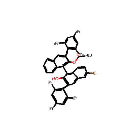 CC(C)c1cc(C(C)C)c(-c2cc3cc(Br)ccc3c(-c3c(OC(=O)C(C)(C)C)c(-c4c(C(C)C)cc(C(C)C)cc4C(C)C)cc4ccccc34)c2O)c(C(C)C)c1